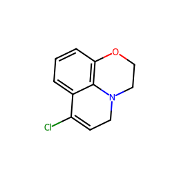 ClC1=CCN2CCOc3cccc1c32